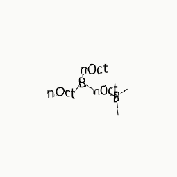 CB(C)C.CCCCCCCCB(CCCCCCCC)CCCCCCCC